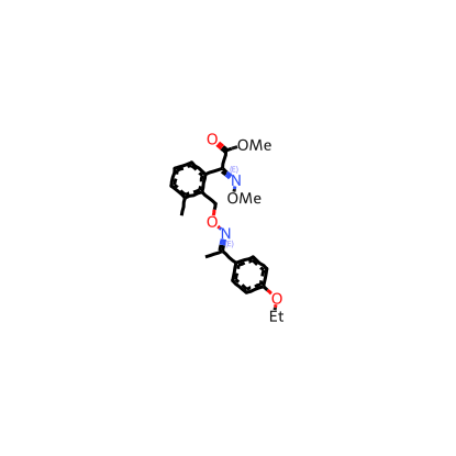 CCOc1ccc(/C(C)=N/OCc2c(C)cccc2/C(=N\OC)C(=O)OC)cc1